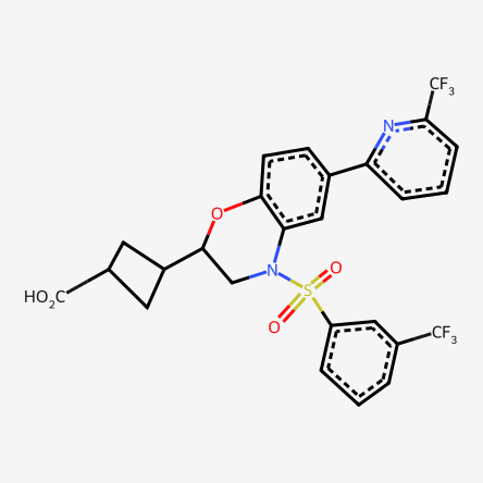 O=C(O)C1CC(C2CN(S(=O)(=O)c3cccc(C(F)(F)F)c3)c3cc(-c4cccc(C(F)(F)F)n4)ccc3O2)C1